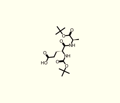 C[C@@H](NC(=O)[C@@H](CCC(=O)O)NC(=O)OC(C)(C)C)C(=O)OC(C)(C)C